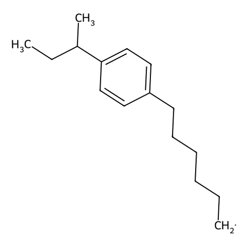 [CH2]CCCCCc1ccc(C(C)CC)cc1